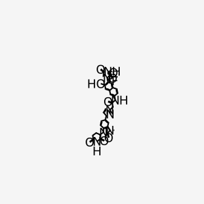 Cn1c(=O)n(C2CCC(=O)NC2=O)c2ccc(-c3ccn(CC(=O)Nc4ccc5c(F)c(N6CC(=O)NS6(=O)=O)c(O)cc5c4)n3)cc21